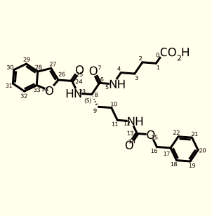 O=C(O)CCCCNC(=O)[C@H](CCCNC(=O)OCc1ccccc1)NC(=O)c1cc2ccccc2o1